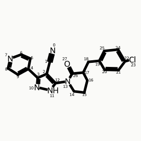 N#Cc1c(-c2ccncc2)n[nH]c1N1CCCC(Cc2ccc(Cl)cc2)C1=O